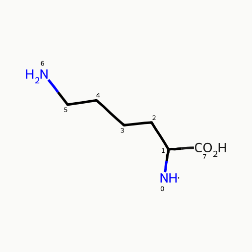 [NH]C(CCCCN)C(=O)O